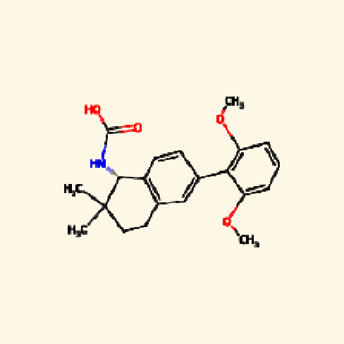 COc1cccc(OC)c1-c1ccc2c(c1)CCC(C)(C)[C@@H]2NC(=O)O